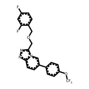 Fc1ccc(COCc2nnc3ccc(-c4ccc(OC(F)(F)F)cc4)cn23)c(F)c1